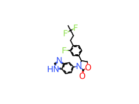 CC(F)(F)CCc1ccc(C2COC(=O)N2c2ccc3[nH]cnc3c2)cc1F